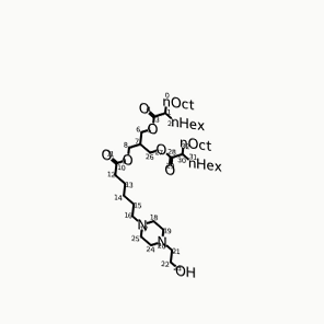 CCCCCCCCC(CCCCCC)C(=O)OCC(COC(=O)CCCCCN1CCN(CCO)CC1)COC(=O)C(CCCCCC)CCCCCCCC